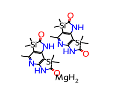 Cc1nc2c(c3c1[Si](C)(C)C(=O)N3)[Si](C)(C)C(=O)N2.Cc1nc2c(c3c1[Si](C)(C)C(=O)N3)[Si](C)(C)C(=O)N2.[MgH2]